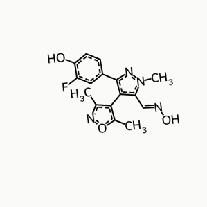 Cc1noc(C)c1-c1c(-c2ccc(O)c(F)c2)nn(C)c1C=NO